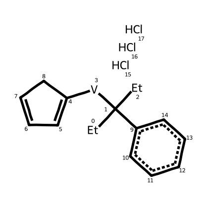 CC[C](CC)([V][C]1=CC=CC1)c1ccccc1.Cl.Cl.Cl